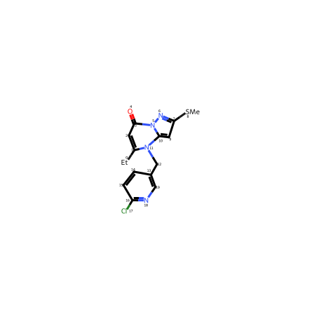 CCc1cc(=O)n2nc(SC)cc2n1Cc1ccc(Cl)nc1